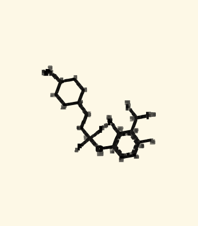 CCCC1CCC(CCC(F)(F)Oc2ccc(C)c(C(F)F)c2F)CC1